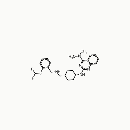 CN(C)c1nc(N[C@H]2CC[C@@H](CNCc3ccccc3SC(F)F)CC2)nc2ccccc12